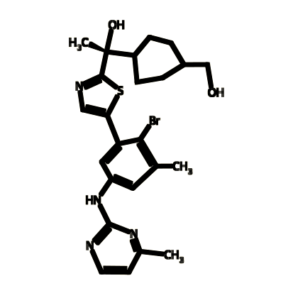 Cc1ccnc(Nc2cc(C)c(Br)c(-c3cnc([C@](C)(O)C4CCC(CO)CC4)s3)c2)n1